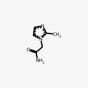 Cc1nccn1CC(N)=O